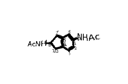 CC(=O)Nc1ccc2c(c1)CC(NC(C)=O)C2